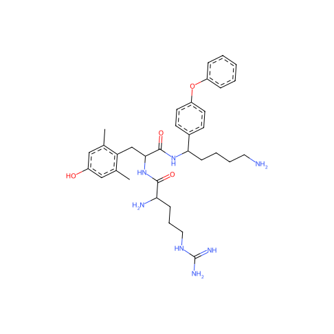 Cc1cc(O)cc(C)c1CC(NC(=O)C(N)CCCNC(=N)N)C(=O)NC(CCCCN)c1ccc(Oc2ccccc2)cc1